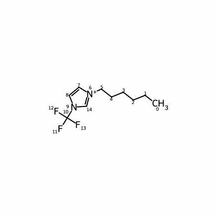 CCCCCC[n+]1ccn(C(F)(F)F)c1